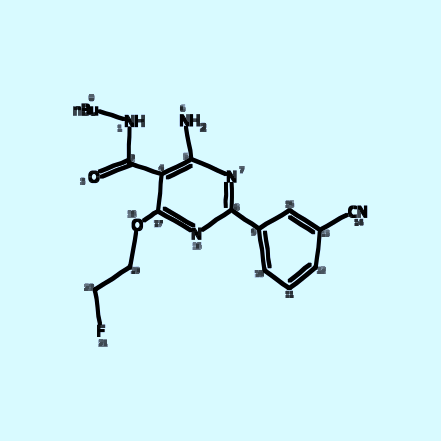 CCCCNC(=O)c1c(N)nc(-c2cccc(C#N)c2)nc1OCCF